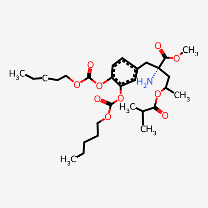 CCCCCOC(=O)Oc1ccc(C[C@](N)(CC(C)OC(=O)C(C)C)C(=O)OC)cc1OC(=O)OCCCCC